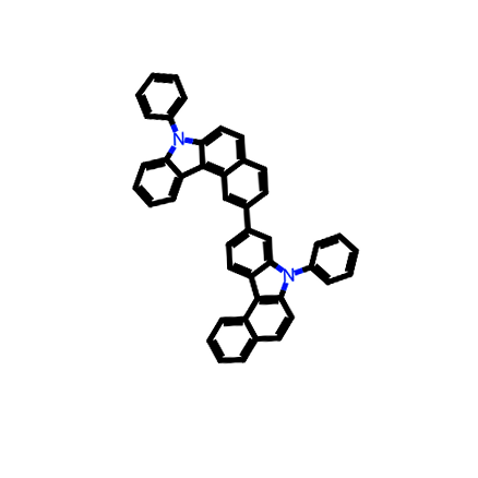 c1ccc(-n2c3ccccc3c3c4cc(-c5ccc6c7c8ccccc8ccc7n(-c7ccccc7)c6c5)ccc4ccc32)cc1